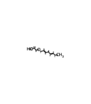 CCC=CCC=CCOCCO